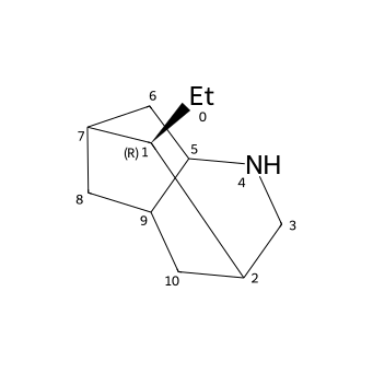 CC[C@H]1C2CNC3CC1CC3C2